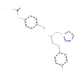 CC(=O)Nc1ccc(CSC(CCc2ccc(F)cc2)Cn2ccnc2)cc1